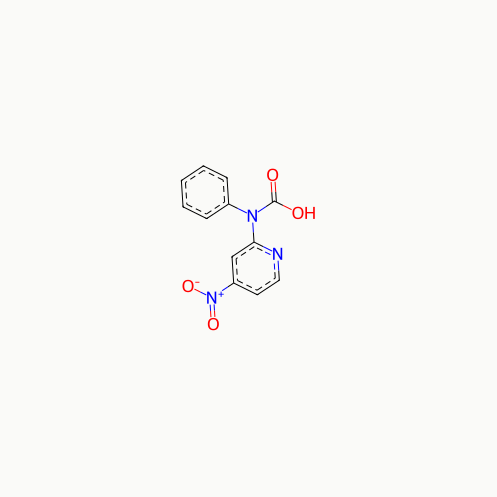 O=C(O)N(c1ccccc1)c1cc([N+](=O)[O-])ccn1